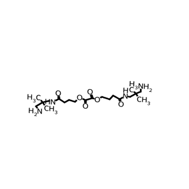 CC(C)(CN)CNC(=O)CCCOC(=O)C(=O)OCCCC(=O)NCC(C)(C)CN